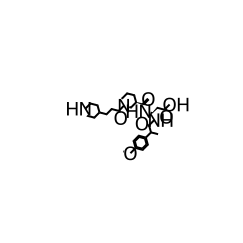 COc1ccc(C(C)C(=O)N[C@H](CC(=O)O)NC(=O)[C@@H]2CCCN(C(=O)CCC3CCNCC3)C2)cc1